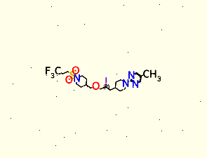 Cc1cnc(N2CCC(C[C@@H](I)COCC3CCN(S(=O)(=O)CCC(F)(F)F)CC3)CC2)nc1